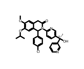 COc1cc2c(cc1OC(C)C)C(c1ccc(Cl)cc1)N(c1ccc([C@@](C)(O)c3cccnc3)cn1)C(=O)C2